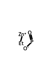 C[CH2][Zn+].O=P[O-]